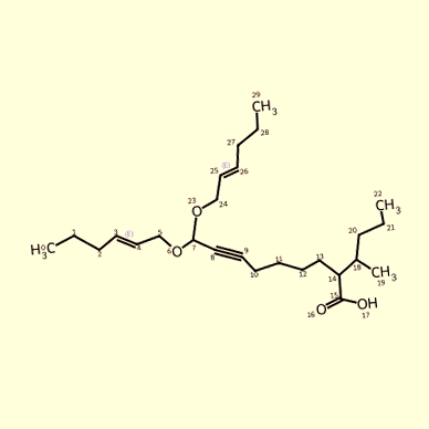 CCC/C=C/COC(C#CCCCCC(C(=O)O)C(C)CCC)OC/C=C/CCC